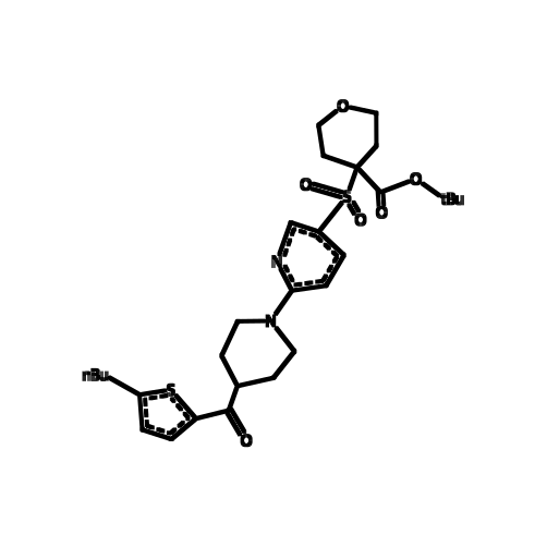 CCCCc1ccc(C(=O)C2CCN(c3ccc(S(=O)(=O)C4(C(=O)OC(C)(C)C)CCOCC4)cn3)CC2)s1